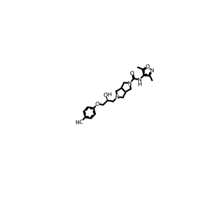 Cc1noc(C)c1NC(=O)N1CC2CN(C[C@H](O)COc3ccc(C#N)cc3)CC2C1